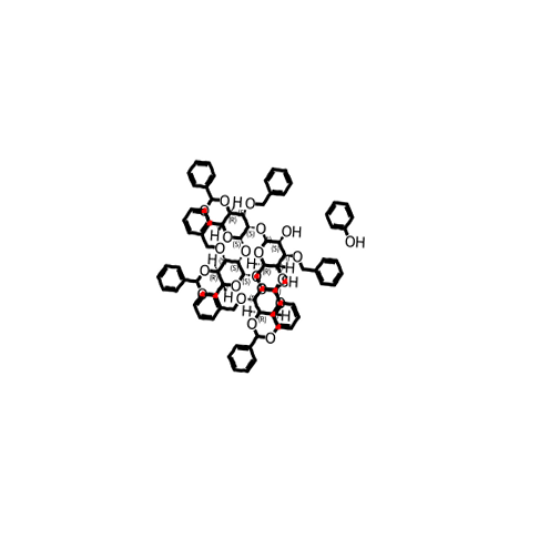 O[C@@H]1[C@H](O[C@@H]2[C@H](O[C@@H]3[C@H](O[C@H]4[C@@H](OCc5ccccc5)[C@@H]5OC(c6ccccc6)OC[C@H]5O[C@@H]4S)O[C@@H]4COC(c5ccccc5)O[C@H]4[C@@H]3OCc3ccccc3)O[C@@H]3COC(c4ccccc4)O[C@H]3[C@@H]2OCc2ccccc2)O[C@@H]2COC(c3ccccc3)O[C@H]2[C@@H]1OCc1ccccc1.Oc1ccccc1